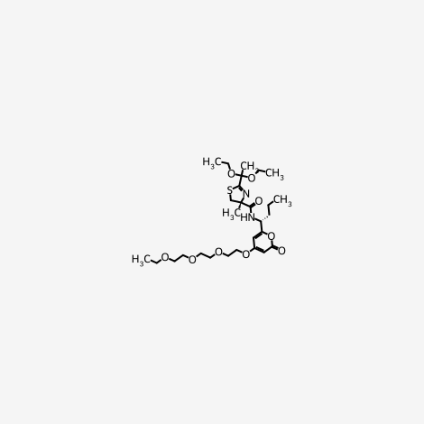 CCC[C@@H](NC(=O)[C@]1(C)CSC(C(C)(OCC)OCC)=N1)c1cc(OCCOCCOCCOCC)cc(=O)o1